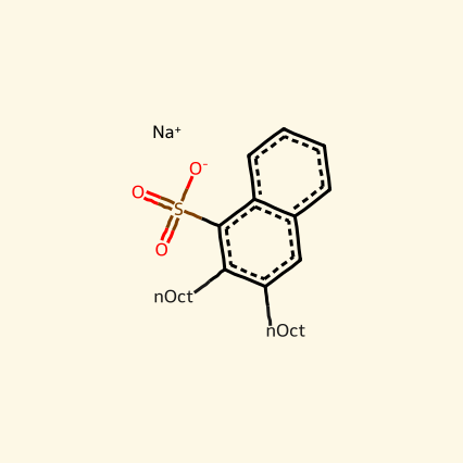 CCCCCCCCc1cc2ccccc2c(S(=O)(=O)[O-])c1CCCCCCCC.[Na+]